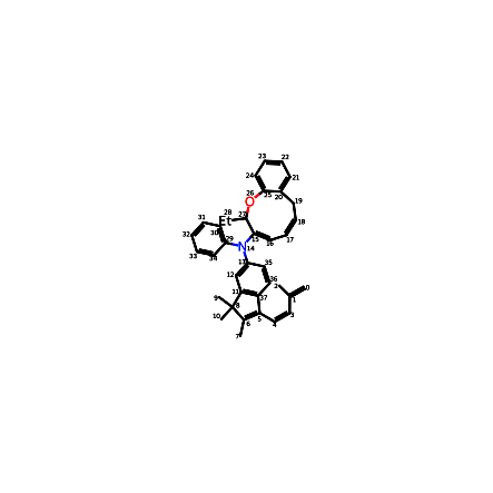 C=C(C)/C=C\C1=C(C)C(C)(C)c2cc(N(/C3=C/C=C\Cc4ccccc4OC3CC)c3ccccc3)ccc21